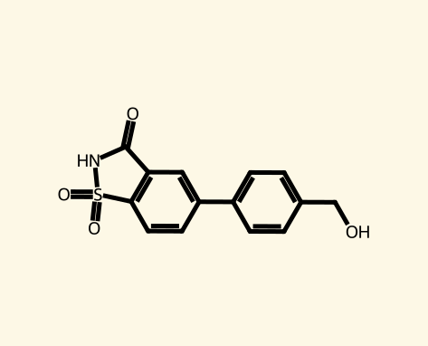 O=C1NS(=O)(=O)c2ccc(-c3ccc(CO)cc3)cc21